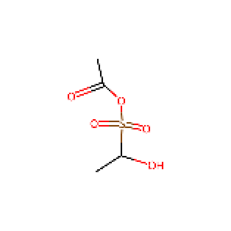 CC(=O)OS(=O)(=O)C(C)O